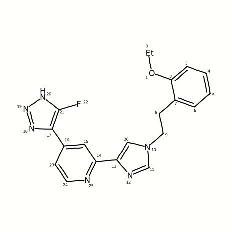 CCOc1ccccc1CCn1cnc(-c2cc(-c3nn[nH]c3F)ccn2)c1